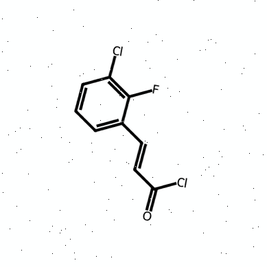 O=C(Cl)C=Cc1cccc(Cl)c1F